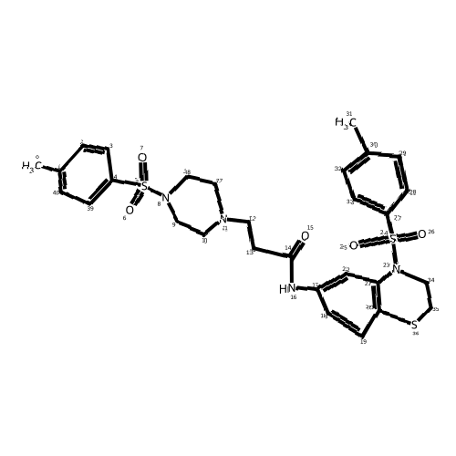 Cc1ccc(S(=O)(=O)N2CCN(CCC(=O)Nc3ccc4c(c3)N(S(=O)(=O)c3ccc(C)cc3)CCS4)CC2)cc1